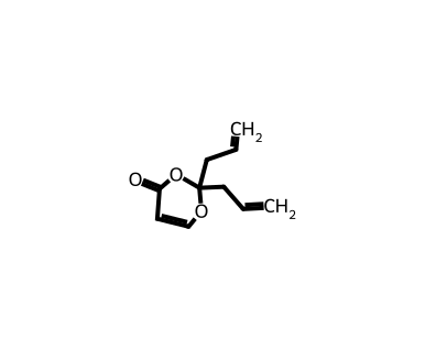 C=CCC1(CC=C)OC=CC(=O)O1